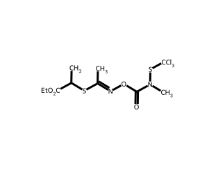 CCOC(=O)C(C)S/C(C)=N/OC(=O)N(C)SC(Cl)(Cl)Cl